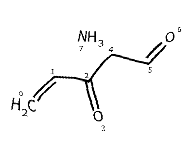 C=CC(=O)CC=O.N